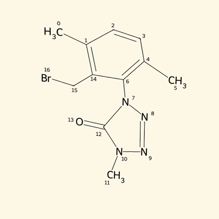 Cc1ccc(C)c(-n2nnn(C)c2=O)c1CBr